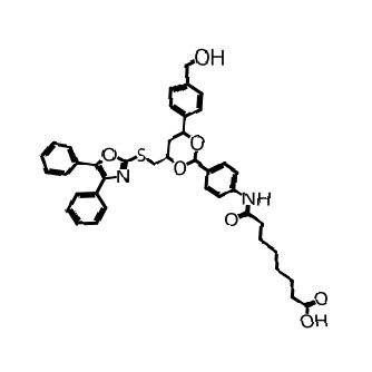 O=C(O)CCCCCCC(=O)Nc1ccc(C2OC(c3ccc(CO)cc3)C[C@H](CSc3nc(-c4ccccc4)c(-c4ccccc4)o3)O2)cc1